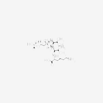 C=C(C)C(N)=O.C=C(C)C(N)=O.C[N+](C)(C)CCOP(=O)(O)O.NCCCC[C@H](N)C(=O)O